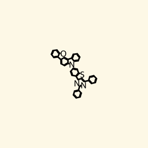 c1ccc(-c2nc(-c3ccccc3)c3sc4cc(-n5c6ccccc6c6c7oc8ccccc8c7ccc65)ccc4c3n2)cc1